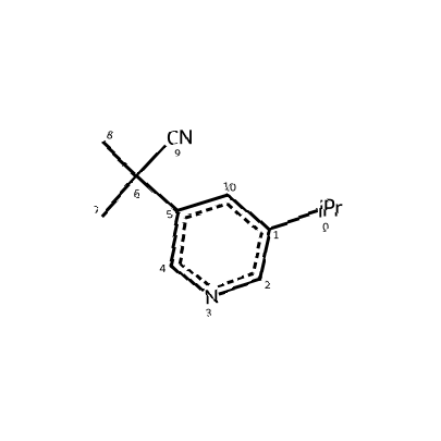 CC(C)c1cncc(C(C)(C)C#N)c1